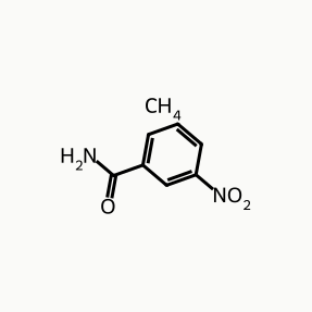 C.NC(=O)c1cccc([N+](=O)[O-])c1